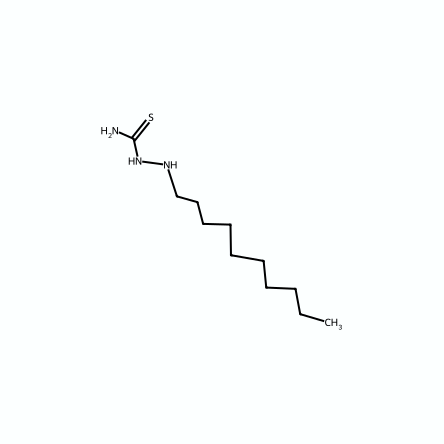 CCCCCCCCCCNNC(N)=S